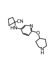 N#CC1(Nc2ccc(OC3CCNCC3)nc2)CCC1